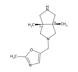 Cc1ncc(CN2C[C@]3(C)CNC[C@]3(C)C2)o1